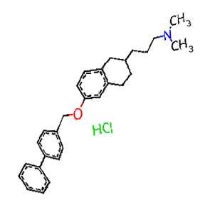 CN(C)CCCC1CCc2cc(OCc3ccc(-c4ccccc4)cc3)ccc2C1.Cl